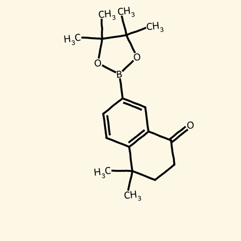 CC1(C)CCC(=O)c2cc(B3OC(C)(C)C(C)(C)O3)ccc21